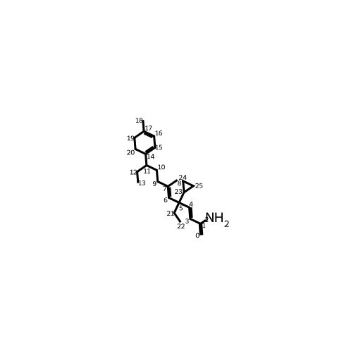 C=C(N)/C=C/C(/C=C(\C)CCC(CC)C1=CC=C(C)CC1)(CC)C1CC1